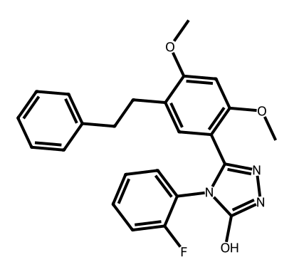 COc1cc(OC)c(-c2nnc(O)n2-c2ccccc2F)cc1CCc1ccccc1